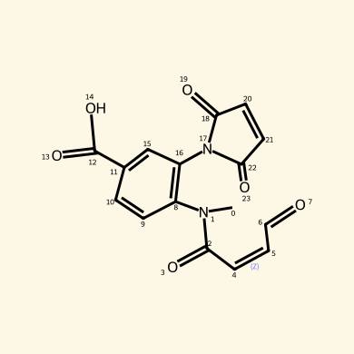 CN(C(=O)/C=C\C=O)c1ccc(C(=O)O)cc1N1C(=O)C=CC1=O